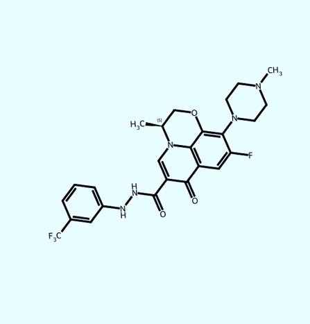 C[C@H]1COc2c(N3CCN(C)CC3)c(F)cc3c(=O)c(C(=O)NNc4cccc(C(F)(F)F)c4)cn1c23